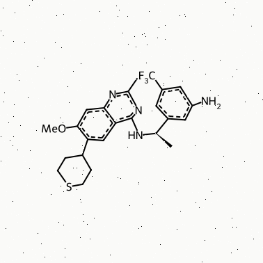 COc1cc2nc(C)nc(N[C@H](C)c3cc(N)cc(C(F)(F)F)c3)c2cc1C1CCSCC1